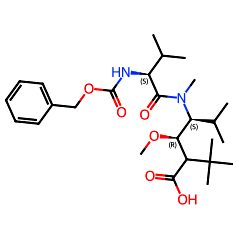 CO[C@H](C(C(=O)O)C(C)(C)C)[C@H](C(C)C)N(C)C(=O)[C@@H](NC(=O)OCc1ccccc1)C(C)C